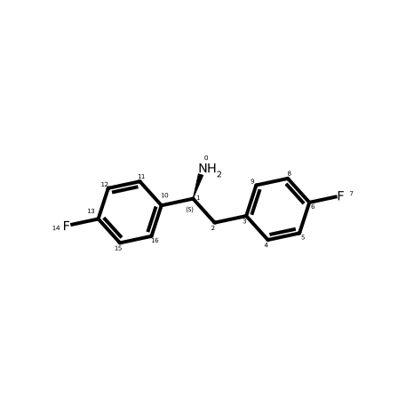 N[C@@H](Cc1ccc(F)cc1)c1ccc(F)cc1